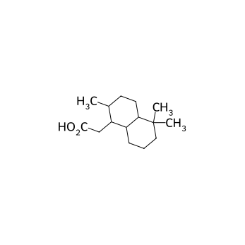 CC1CCC2C(CCCC2(C)C)C1CC(=O)O